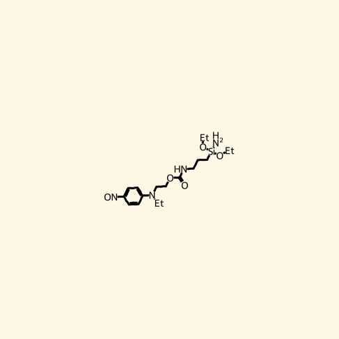 CCO[Si](N)(CCCNC(=O)OCCN(CC)c1ccc(N=O)cc1)OCC